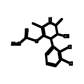 COC(=O)OC1=C(C)NC(C)C(C#N)C1c1cccc(Cl)c1Cl